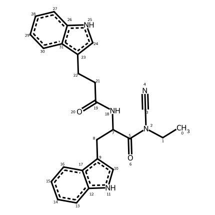 CCN(C#N)C(=O)C(Cc1c[nH]c2ccccc12)NC(=O)CCc1c[nH]c2ccccc12